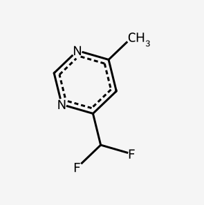 Cc1cc(C(F)F)ncn1